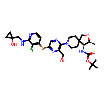 C[C@@H]1OCC2(CCN(c3ncc(Sc4ccnc(NCC5(O)CC5)c4Cl)nc3CO)CC2)[C@@H]1NC(=O)OC(C)(C)C